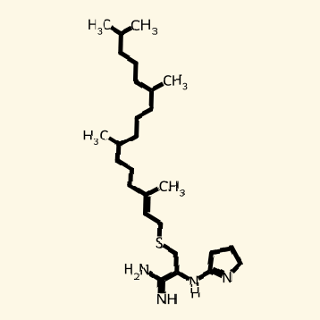 C/C(=C\CSCC(NC1=NCCC1)C(=N)N)CCCC(C)CCCC(C)CCCC(C)C